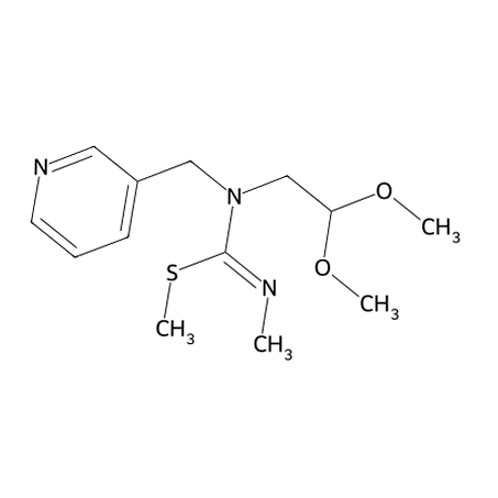 CN=C(SC)N(Cc1cccnc1)CC(OC)OC